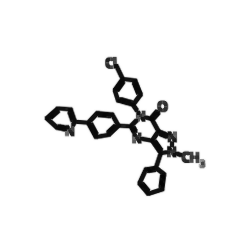 Cn1nc2c(=O)n(-c3ccc(Cl)cc3)c(-c3ccc(-c4ccccn4)cc3)nc2c1-c1ccccc1